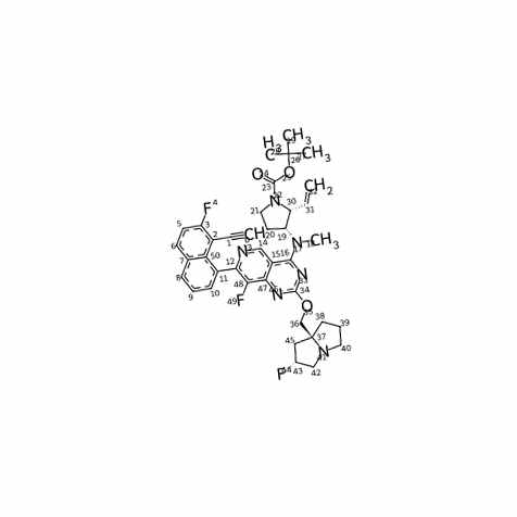 C#Cc1c(F)ccc2cccc(-c3ncc4c(N(C)[C@@H]5CCN(C(=O)OC(C)(C)C)[C@@H]5C=C)nc(OC[C@@]56CCCN5C[C@H](F)C6)nc4c3F)c12